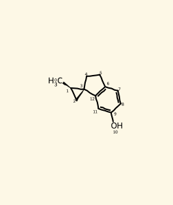 C[C@@H]1C[C@]12CCc1ccc(O)cc12